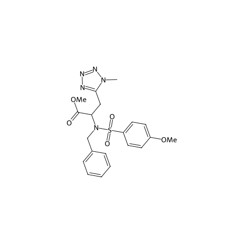 COC(=O)C(Cc1nnnn1C)N(Cc1ccccc1)S(=O)(=O)c1ccc(OC)cc1